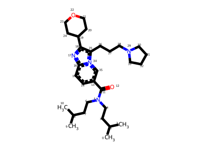 CC(C)CCN(CCC(C)C)C(=O)c1ccc2nc(C3CCOCC3)c(CCCN3CCCC3)n2c1